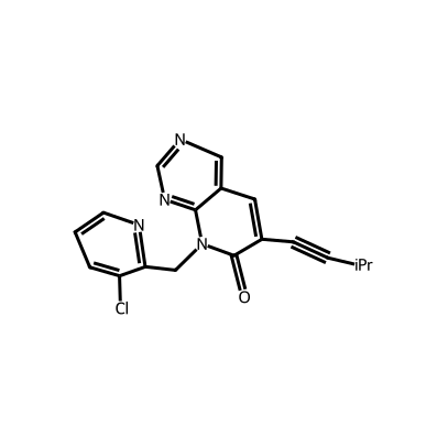 CC(C)C#Cc1cc2cncnc2n(Cc2ncccc2Cl)c1=O